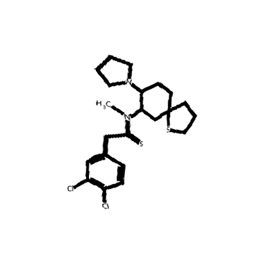 CN(C(=S)Cc1ccc(Cl)c(Cl)c1)C1CC2(CCCS2)CCC1N1CCCC1